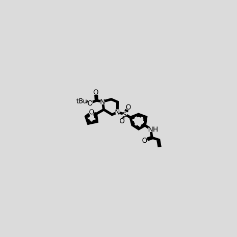 C=CC(=O)Nc1ccc(S(=O)(=O)N2CCN(C(=O)OC(C)(C)C)C(c3ccco3)C2)cc1